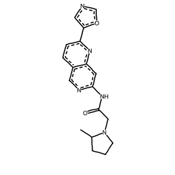 CC1CCCN1CC(=O)Nc1cc2nc(-c3cnco3)ccc2cn1